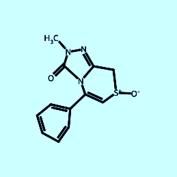 Cn1nc2n(c1=O)C(c1ccccc1)=C[S+]([O-])C2